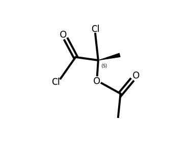 CC(=O)O[C@@](C)(Cl)C(=O)Cl